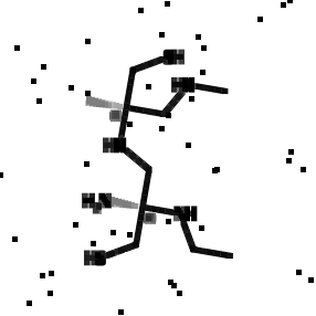 CCN[C@@](N)(CS)CN[C@@](C)(CS)CNC